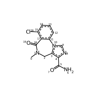 CN1Cc2c(C(N)=O)ncn2-c2cccc(Cl)c2C1=O